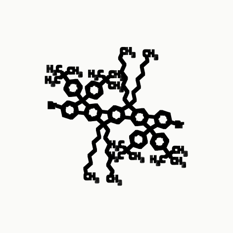 CCCCCCCCC1(CCCCCCCC)c2cc3c(cc2-c2cc4c(cc21)-c1ccc(Br)cc1C4(c1ccc(C(C)(C)C)cc1)c1ccc(C(C)(C)C)cc1)C(CCCCCCCC)(CCCCCCCC)c1cc2c(cc1-3)C(c1ccc(C(C)(C)C)cc1)(c1ccc(C(C)(C)C)cc1)c1cc(Br)ccc1-2